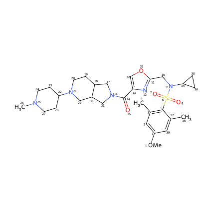 COc1cc(C)c(S(=O)(=O)N(Cc2nc(C(=O)N3CC4CCN(C5CCN(C)CC5)CC4C3)co2)C2CC2)c(C)c1